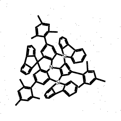 Cc1cc(C)c(-c2cc3c4c(c2)[Si]2(c5ccccc5-c5ccccc52)c2cc(-c5c(C)cc(C)cc5C)cc5c2N4c2c(cc(-c4c(C)cc(C)cc4C)cc2[Si]52c4ccccc4-c4ccccc42)C32c3ccccc3-c3ccccc32)c(C)c1